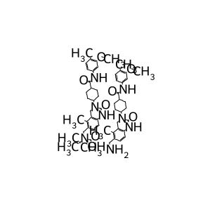 COc1cc(NC(=O)C2CCC(N3Cc4c(ccc(CN(C(=O)O)C(C)(C)C)c4C)NC3=O)CC2)ccc1C.COc1cc(NC(=O)C2CCC(N3Cc4c(ccc(CN)c4C)NC3=O)CC2)ccc1C